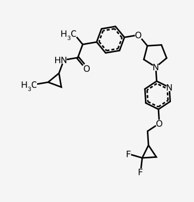 CC(C(=O)NC1CC1C)c1ccc(OC2CCN(c3ccc(OCC4CC4(F)F)cn3)C2)cc1